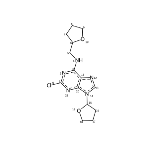 Clc1nc(NCC2CCCO2)c2ncn(C3CCCO3)c2n1